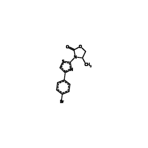 CC1COC(=O)N1c1nc(-c2ccc(Br)cc2)cs1